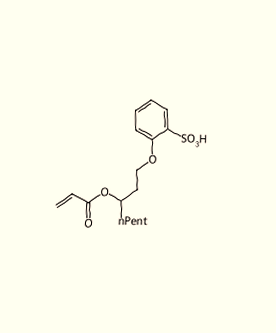 C=CC(=O)OC(CCCCC)CCOc1ccccc1S(=O)(=O)O